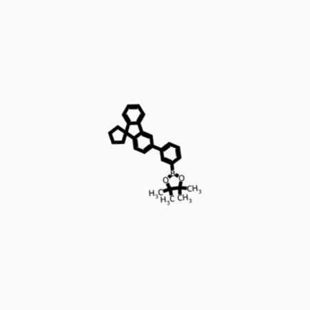 CC1(C)OB(c2cccc(-c3ccc4c(c3)-c3ccccc3C43CCCC3)c2)OC1(C)C